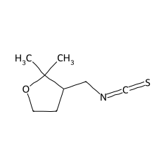 CC1(C)OCCC1CN=C=S